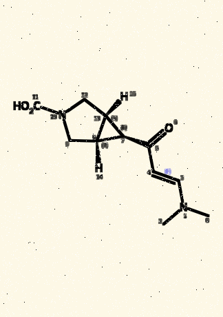 CN(C)/C=C/C(=O)[C@H]1[C@@H]2CN(C(=O)O)C[C@@H]21